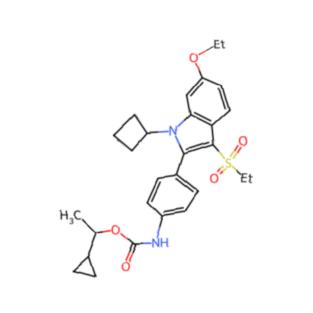 CCOc1ccc2c(S(=O)(=O)CC)c(-c3ccc(NC(=O)OC(C)C4CC4)cc3)n(C3CCC3)c2c1